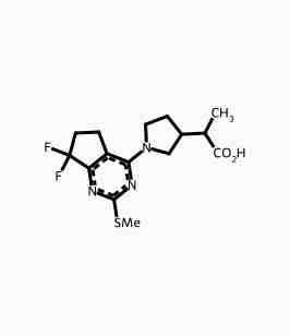 CSc1nc(N2CCC(C(C)C(=O)O)C2)c2c(n1)C(F)(F)CC2